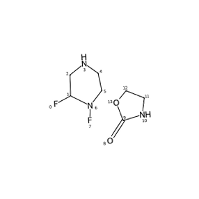 FC1CNCCN1F.O=C1NCCO1